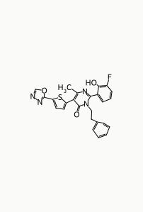 Cc1nc(-c2cccc(F)c2O)n(CCc2ccccc2)c(=O)c1-c1ccc(-c2nnco2)s1